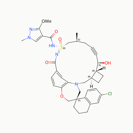 COc1nn(C)cc1C(=O)N[S@@]1(=O)=NC(=O)c2ccc3c(c2)N(C[C@@H]2CC[C@H]2[C@H](O)C#CC[C@H](C)C1)C[C@@]1(CCCc2cc(Cl)ccc21)CO3